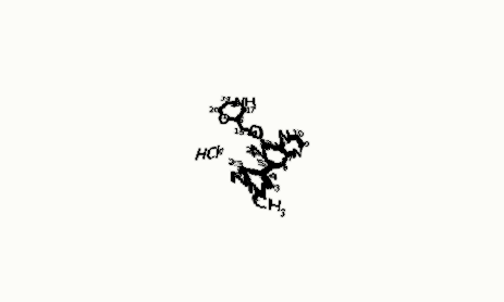 Cl.Cn1cc(-c2cc3nccnc3c(OC[C@@H]3CNCCO3)n2)cn1